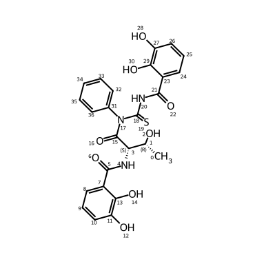 C[C@@H](O)[C@H](NC(=O)c1cccc(O)c1O)C(=O)N(C(=S)NC(=O)c1cccc(O)c1O)c1ccccc1